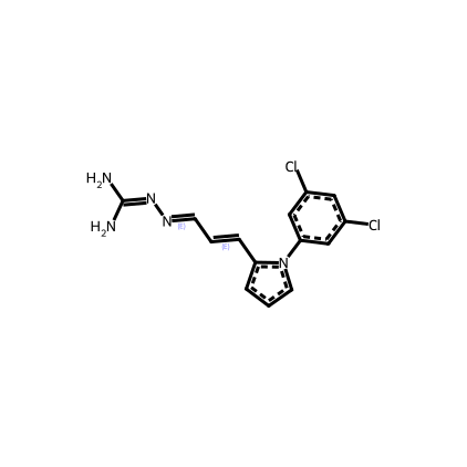 NC(N)=N/N=C/C=C/c1cccn1-c1cc(Cl)cc(Cl)c1